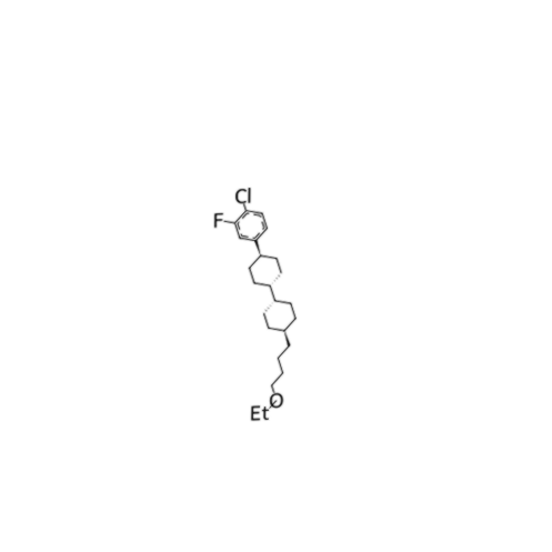 CCOCCCC[C@H]1CC[C@H]([C@H]2CC[C@H](c3ccc(Cl)c(F)c3)CC2)CC1